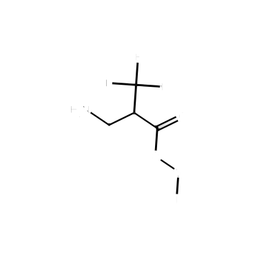 NCC(C(=O)OSI)C(F)(F)F